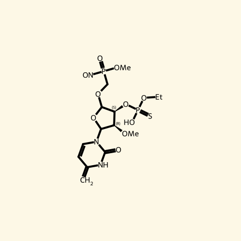 C=C1C=CN(C2OC(OCP(=O)(N=O)OC)[C@@H](OP(O)(=S)OCC)[C@H]2OC)C(=O)N1